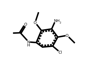 COc1c(Cl)cc(NC(C)=O)c(OC)c1N